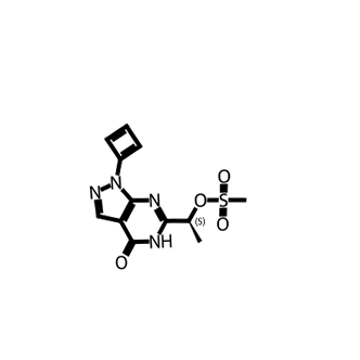 C[C@H](OS(C)(=O)=O)c1nc2c(cnn2C2=CC=C2)c(=O)[nH]1